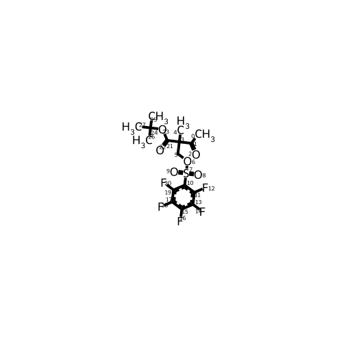 CC(=O)C(C)(COS(=O)(=O)c1c(F)c(F)c(F)c(F)c1F)C(=O)OC(C)(C)C